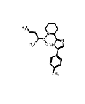 CC=CC(C)[S+]([O-])N1CCCCC1c1ncc(-c2ccc(C)cc2)[nH]1